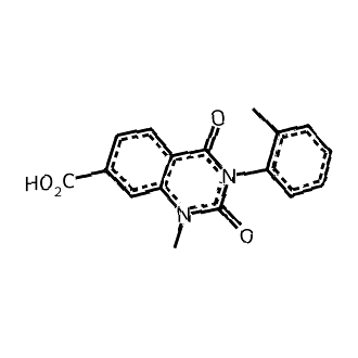 Cc1ccccc1-n1c(=O)c2ccc(C(=O)O)cc2n(C)c1=O